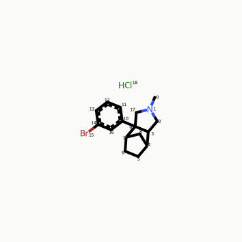 CN1CC2C3CCC(C3)C2(c2cccc(Br)c2)C1.Cl